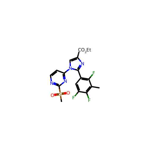 CCOC(=O)c1cn(-c2ccnc(S(C)(=O)=O)n2)c(-c2cc(F)c(F)c(C)c2F)n1